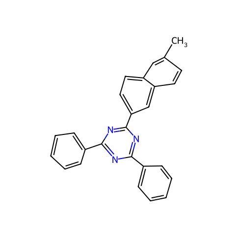 Cc1ccc2cc(-c3nc(-c4ccccc4)nc(-c4ccccc4)n3)ccc2c1